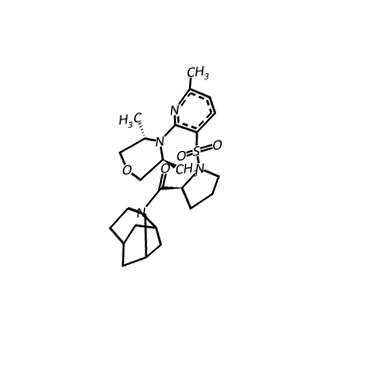 Cc1ccc(S(=O)(=O)N2CCC[C@H]2C(=O)N2C3CC4CC(C3)CC2C4)c(N2[C@@H](C)COC[C@@H]2C)n1